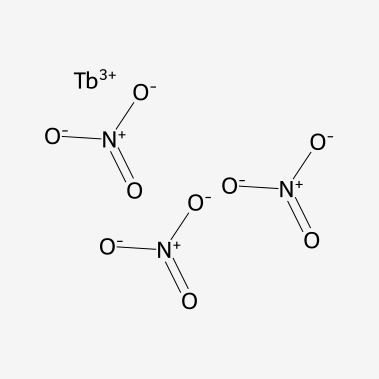 O=[N+]([O-])[O-].O=[N+]([O-])[O-].O=[N+]([O-])[O-].[Tb+3]